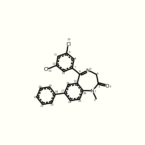 CN1C(=O)CN=C(c2cc(Cl)cc(Cl)c2)c2cc(-c3ccccc3)ccc21